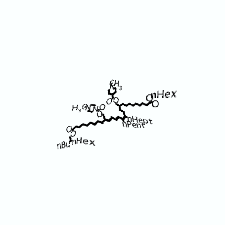 CCCCCCCC(CCC(CCCCCCCCC(=O)OCCCCCC)COC(=O)C1CCN(C)CC1)C(CCCCC)CCCCC(CCCCCCCCC(=O)OCC(CCCC)CCCCCC)COC(=O)N1CCN(C)CC1